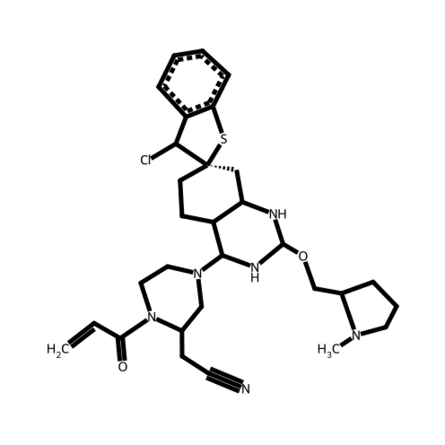 C=CC(=O)N1CCN(C2NC(OCC3CCCN3C)NC3C[C@@]4(CCC32)Sc2ccccc2C4Cl)CC1CC#N